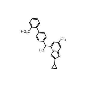 O=C(O)c1ccccc1-c1ccc(C(O)c2cc(C(F)(F)F)cc3nc(C4CC4)cn23)cc1